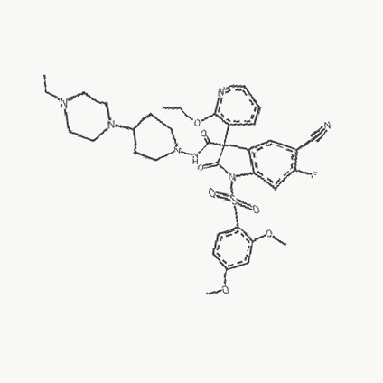 CCOc1ncccc1C1(C(=O)NN2CCC(N3CCN(CC)CC3)CC2)C(=O)N(S(=O)(=O)c2ccc(OC)cc2OC)c2cc(F)c(C#N)cc21